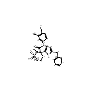 CN1C(C(=O)Nc2ccc(F)c(Cl)c2)(c2ccc(Cc3ccccc3)s2)CCNS1(=O)=O